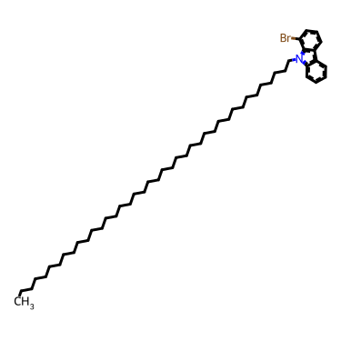 CCCCCCCCCCCCCCCCCCCCCCCCCCCCCCCCCCCCCCCCn1c2ccccc2c2cccc(Br)c21